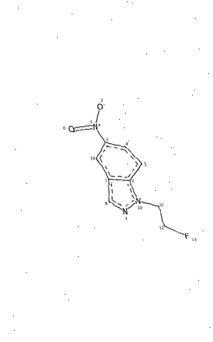 O=[N+]([O-])c1ccc2c(cnn2CCF)c1